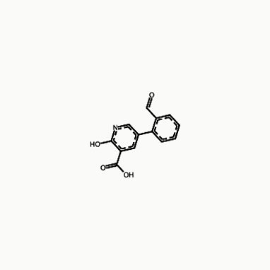 O=Cc1ccccc1-c1cnc(O)c(C(=O)O)c1